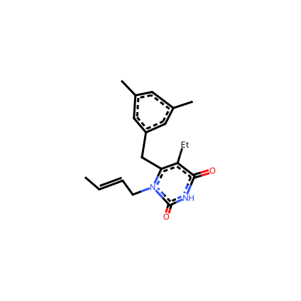 CC=CCn1c(Cc2cc(C)cc(C)c2)c(CC)c(=O)[nH]c1=O